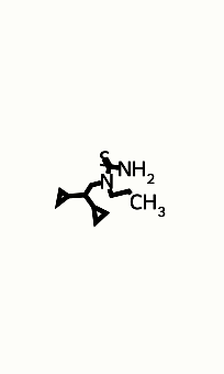 CCCN(CC(C1CC1)C1CC1)C(N)=S